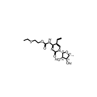 C=Cc1cn([C@@H]2O[C@H](C)[C@@H](O)[C@H]2O)c(=O)nc1NC(=O)OCCSCC